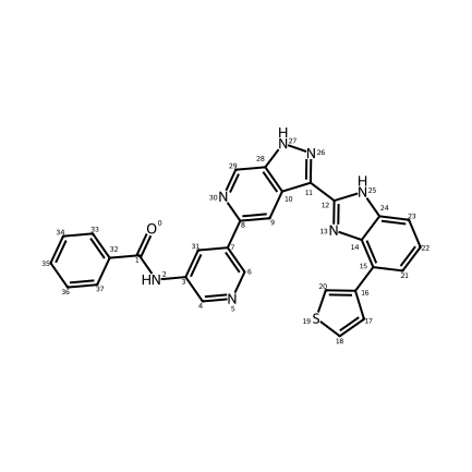 O=C(Nc1cncc(-c2cc3c(-c4nc5c(-c6ccsc6)cccc5[nH]4)n[nH]c3cn2)c1)c1ccccc1